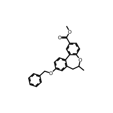 COC(=O)c1ccc2c(c1)-c1ccc(OCc3ccccc3)cc1CC(C)O2